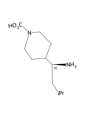 CC(C)C[C@H](N)C1CCN(C(=O)O)CC1